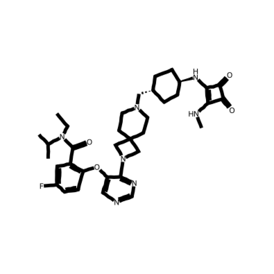 CCN(C(=O)c1cc(F)ccc1Oc1cncnc1N1CC2(CCN(C[C@H]3CC[C@H](Nc4c(NC)c(=O)c4=O)CC3)CC2)C1)C(C)C